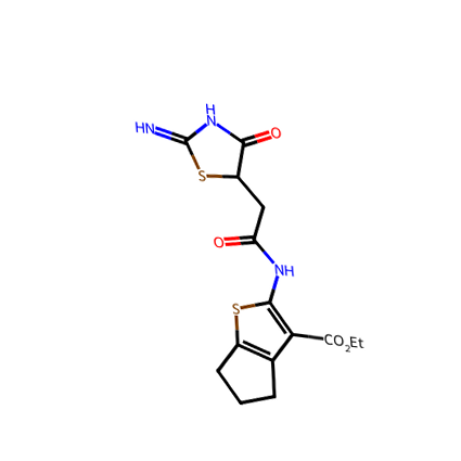 CCOC(=O)c1c(NC(=O)CC2SC(=N)NC2=O)sc2c1CCC2